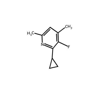 Cc1cc(C)c(F)c(C2CC2)n1